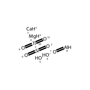 O=[Si]=O.[CaH+].[MgH+].[OH-].[OH-].[O]=[AlH].[O]=[Ti]=[O]